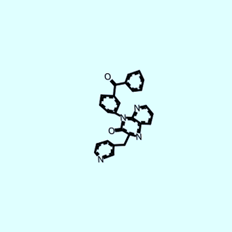 O=C(c1ccccc1)c1cccc(-n2c(=O)c(Cc3cccnc3)nc3cccnc32)c1